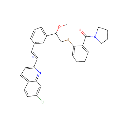 COC(CSc1ccccc1C(=O)N1CCCC1)c1cccc(/C=C/c2ccc3ccc(Cl)cc3n2)c1